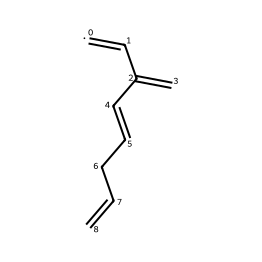 [CH]=CC(=C)C=CCC=C